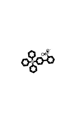 O=[N+]([O-])c1ccccc1-c1ccc([Si](c2ccccc2)(c2ccccc2)c2ccccc2)cc1